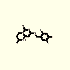 CC1CCn2c(cc(OCc3cc(F)c(F)cc3F)nc2=O)N1